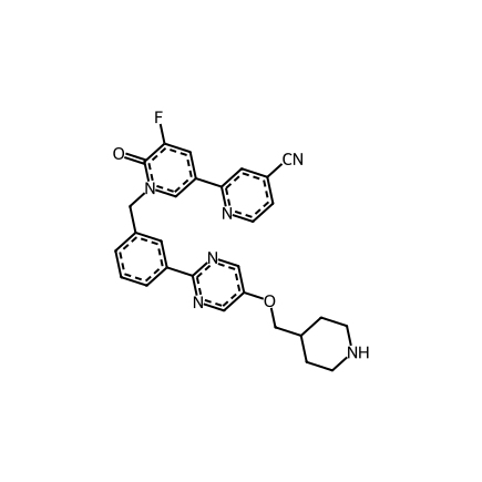 N#Cc1ccnc(-c2cc(F)c(=O)n(Cc3cccc(-c4ncc(OCC5CCNCC5)cn4)c3)c2)c1